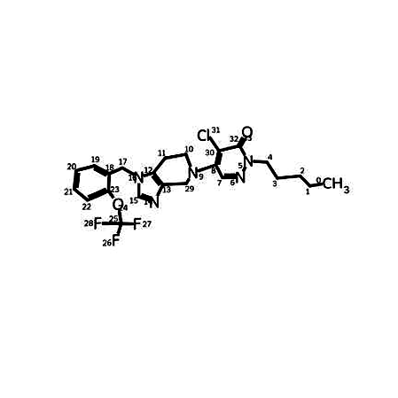 CCCCCn1ncc(N2CCc3c(ncn3Cc3ccccc3OC(F)(F)F)C2)c(Cl)c1=O